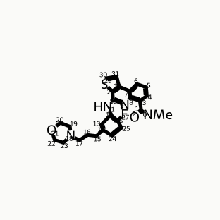 CNC(=O)c1cccc2c1nc(Nc1cc(CCCN3CCOCC3)ccc1F)c1sccc12